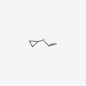 O=[C]O[C]1CC1